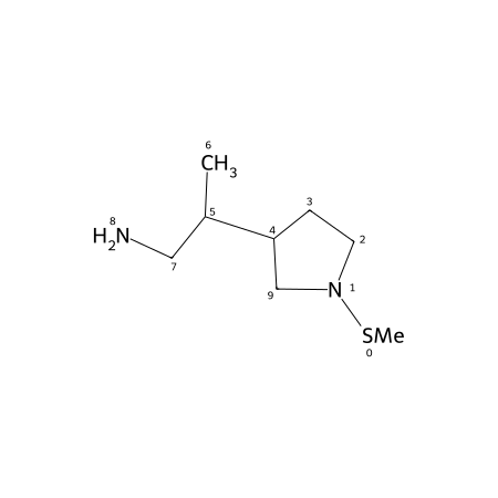 CSN1CCC(C(C)CN)C1